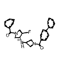 O=C(c1ccc(-c2ccccc2)cc1)N1CC(N[C@H]2CN(C(=O)c3ccccc3)CC2F)C1